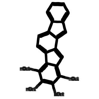 CCCCCCCCc1c2c(c(CCCCCCCC)c(CCCCCCCC)c1CCCCCCCC)-c1ccc3c(c1=C2)=Cc1ccccc1-3